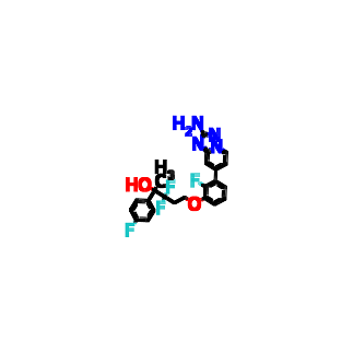 CC(O)(c1ccc(F)cc1)C(F)(F)CCOc1cccc(-c2ccn3nc(N)nc3c2)c1F